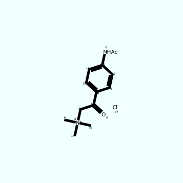 CC(=O)Nc1ccc(C(=O)C[N+](C)(C)C)cc1.[Cl-]